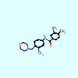 Cc1ccc(C(=O)Nc2ccc(CN3CCOCC3)c(C(F)(F)F)c2)cc1[N+](=O)[O-]